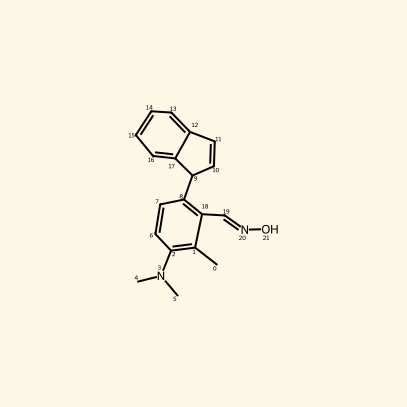 Cc1c(N(C)C)ccc(C2C=Cc3ccccc32)c1C=NO